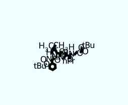 CCCC(NC(=O)C1C2C(CN1C(=O)C(NC(=O)OC(C)(C)C)C1CCCCC1)C2(C)C)C(=O)C(=O)NCCOC(=O)OC(C)(C)C